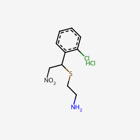 Cl.NCCSC(C[N+](=O)[O-])c1ccccc1Cl